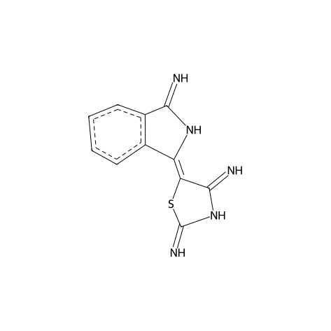 N=C1NC(=N)C(=C2NC(=N)c3ccccc32)S1